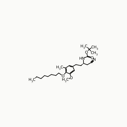 CCCCCCCCOc1c(C)cc(CC[C@H](CC#N)NC(=O)OC(C)(C)C)cc1OC